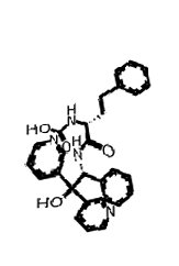 O=C(O)N[C@H](CCc1ccccc1)C(=O)N[C@H](c1ccccc1)C(O)(c1cccnc1)c1cccnc1